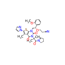 COc1ccccc1[C@H](Cn1c(=O)n(C(C)(C)C(=O)N2CCCC2)c(=O)c2c(C)c(-n3cccn3)sc21)OCCC#N